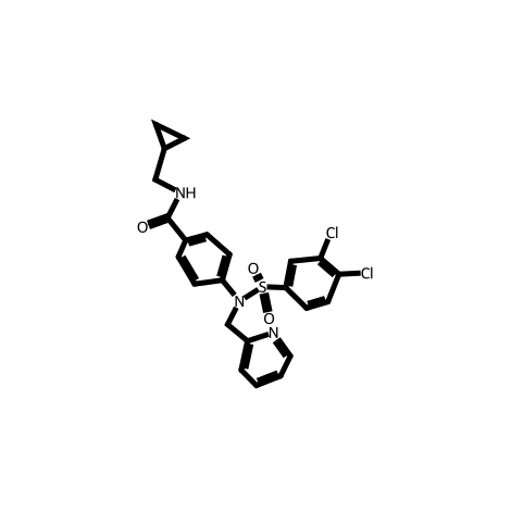 O=C(NCC1CC1)c1ccc(N(Cc2ccccn2)S(=O)(=O)c2ccc(Cl)c(Cl)c2)cc1